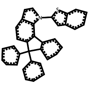 c1ccc(C2(c3ccccc3)c3ccccc3-c3c2ccc2ccn(-c4cc5ccccc5s4)c32)cc1